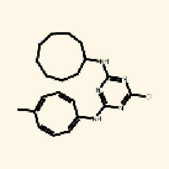 CC1=C/C=C\C(Nc2nc(Cl)nc(NC3CCCCCCCC3)n2)=C/C=C\1